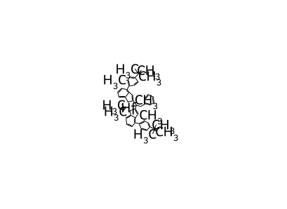 Cc1cc(C(C)(C)C)ccc1-c1cccc2c1C=C1[CH]2[Hf]([CH3])([CH3])[CH]2C(=Cc3c(-c4ccc(C(C)(C)C)cc4C)cccc32)C1(C)Cc1ccccc1